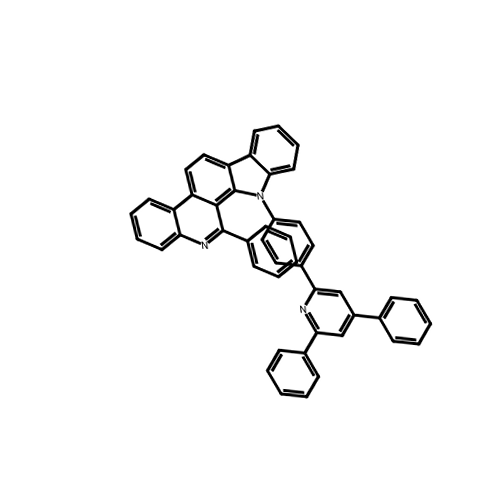 c1ccc(-c2cc(-c3ccccc3)nc(-c3ccc(-n4c5ccccc5c5ccc6c7ccccc7nc(-c7ccccc7)c6c54)cc3)c2)cc1